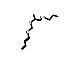 C=C/C=C/OCOC(C)CNCCC